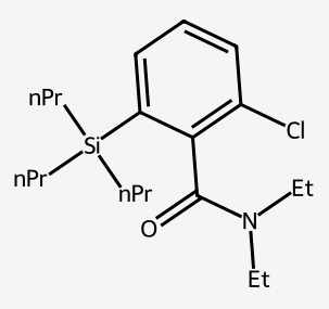 CCC[Si](CCC)(CCC)c1cccc(Cl)c1C(=O)N(CC)CC